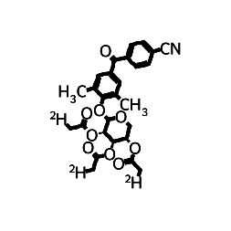 [2H]CC(=O)O[C@H]1[C@H](OC(=O)C[2H])C(Oc2c(C)cc(C(=O)c3ccc(C#N)cc3)cc2C)OC[C@H]1OC(=O)C[2H]